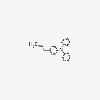 CC=CCc1ccc(N(c2ccccc2)c2ccccc2)cc1